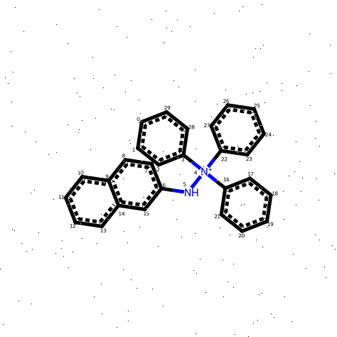 c1ccc([N+](Nc2ccc3ccccc3c2)(c2ccccc2)c2ccccc2)cc1